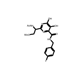 COCC(NC(C)=O)c1nc(O)c(O)c(C(=O)NCc2ccc(F)cc2)n1